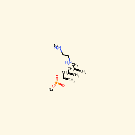 C=CC.C=CC.C=CC.NCCN.O=[PH]([O-])[O-].[Na+].[Na+]